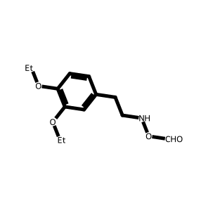 CCOc1ccc(CCNOC=O)cc1OCC